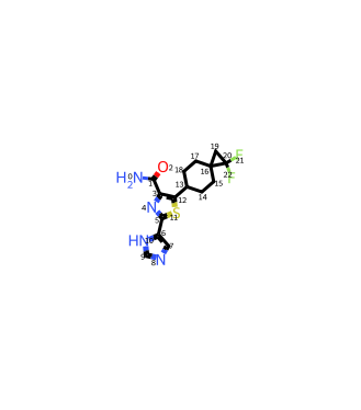 NC(=O)c1nc(-c2cnc[nH]2)sc1C1CCC2(CC1)CC2(F)F